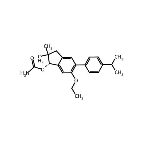 CCOc1cc2c(cc1-c1ccc(C(C)C)cc1)CC(C)(C)[C@H]2OC(N)=O